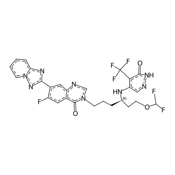 O=c1[nH]ncc(N[C@H](CCCn2cnc3cc(-c4nc5ccccn5n4)c(F)cc3c2=O)CCOC(F)F)c1C(F)(F)F